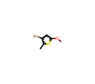 COc1cc(Br)c(C)s1